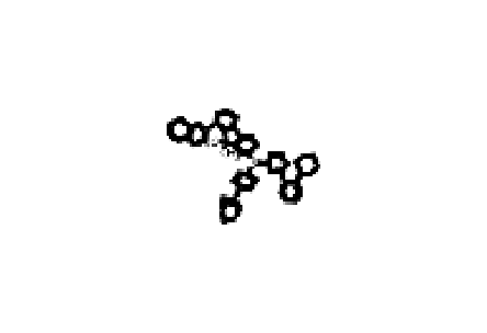 CC1(C)c2cc(N(c3ccc(C4CC5CCC4C5)cc3)c3cccc(-c4ccccc4C4CCCCC4)c3)ccc2-c2cccc(-c3ccc4ccccc4c3)c21